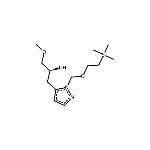 COC[C@@H](O)Cc1ccnn1COCC[Si](C)(C)C